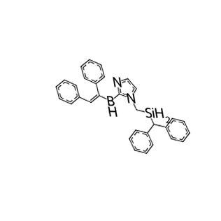 B(C(=Cc1ccccc1)c1ccccc1)c1nccn1C[SiH2]C(c1ccccc1)c1ccccc1